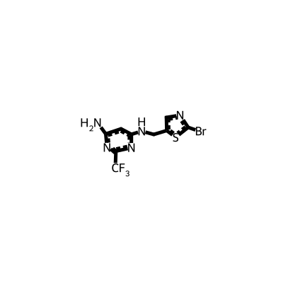 Nc1cc(NCc2cnc(Br)s2)nc(C(F)(F)F)n1